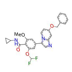 COc1cc(-c2cnc3cc(OCc4ccccc4)ccn23)cc(OC(F)F)c1C(=O)NC1CC1